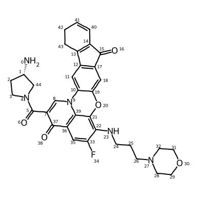 N[C@H]1CCN(C(=O)c2cn3c4cc5c6c(c(=O)c5cc4oc4c(NCCCN5CCOCC5)c(F)cc(c2=O)c43)C=CCC6)C1